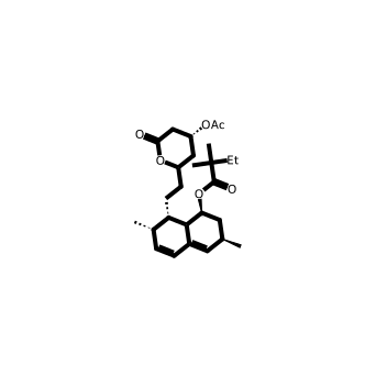 CCC(C)(C)C(=O)O[C@H]1C[C@@H](C)C=C2C=C[C@H](C)[C@H](CCC3C[C@@H](OC(C)=O)CC(=O)O3)C21